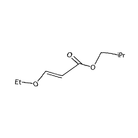 CCO/C=C/C(=O)OCC(C)C